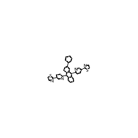 c1ccc(-c2ccc3c(-c4ccc(-c5nccs5)cn4)c4ccccc4c(-c4ccc(-c5nccs5)cn4)c3c2)cc1